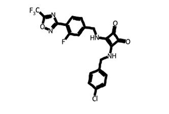 O=c1c(NCc2ccc(Cl)cc2)c(NCc2ccc(-c3noc(C(F)(F)F)n3)c(F)c2)c1=O